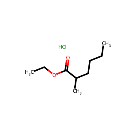 CCCCC(C)C(=O)OCC.Cl